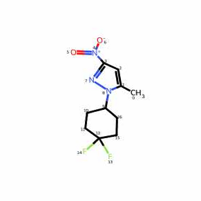 Cc1cc([N+](=O)[O-])nn1C1CCC(F)(F)CC1